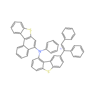 C(=C(/c1ccccc1)c1ccc2sc3cccc(N(c4ccccc4)c4cc5sc6ccccc6c5c5ccccc45)c3c2c1)/c1ccccc1